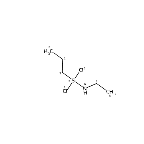 CCC[Si](Cl)(Cl)NCC